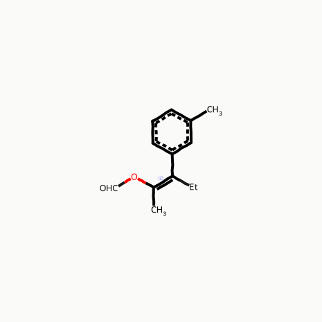 CC/C(=C(\C)OC=O)c1cccc(C)c1